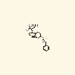 CCOC(=O)C(=O)OC(=O)[C@H]1CC[C@H](NOCc2ccccc2)CN1